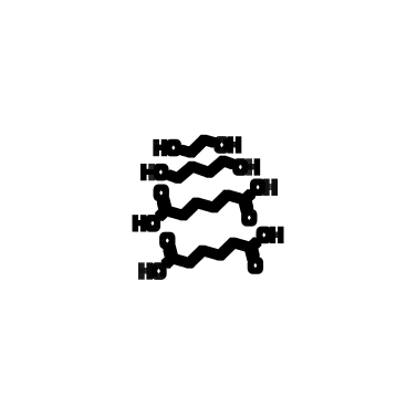 O=C(O)CCCCC(=O)O.O=C(O)CCCCC(=O)O.OCCCCO.OCCO